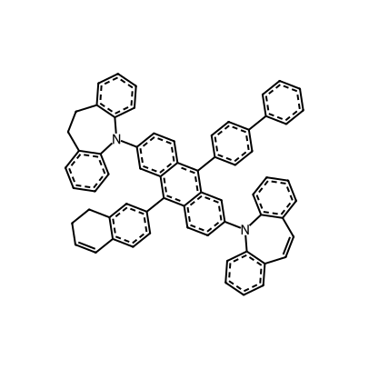 C1=Cc2ccc(-c3c4ccc(N5c6ccccc6C=Cc6ccccc65)cc4c(-c4ccc(-c5ccccc5)cc4)c4ccc(N5c6ccccc6CCc6ccccc65)cc34)cc2CC1